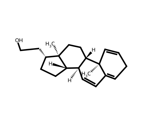 C[C@]12CC[C@H]3[C@@H](C=CC4=CCC=C[C@@]43C)[C@@H]1CC[C@@H]2CCO